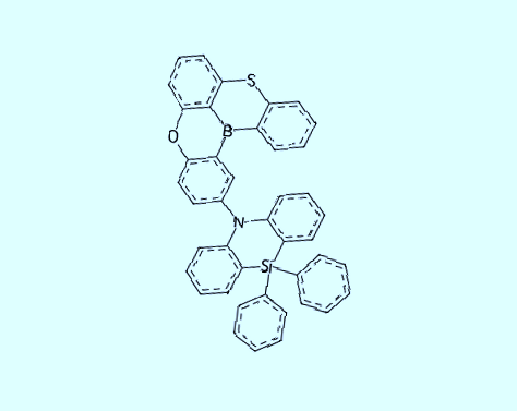 c1ccc([Si]2(c3ccccc3)c3ccccc3N(c3ccc4c(c3)B3c5ccccc5Sc5cccc(c53)O4)c3ccccc32)cc1